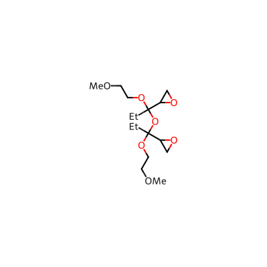 CCC(OCCOC)(OC(CC)(OCCOC)C1CO1)C1CO1